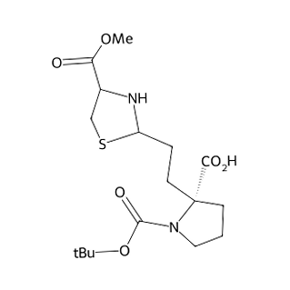 COC(=O)C1CSC(CC[C@@]2(C(=O)O)CCCN2C(=O)OC(C)(C)C)N1